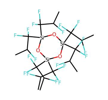 CC(F)C(F)(F)[Si]1(C(F)(F)C(C)F)O[Si](C(F)(F)C(C)F)(C(F)(F)C(C)F)O[Si](C(F)(F)C(C)F)(C(F)(F)C(C)F)O1